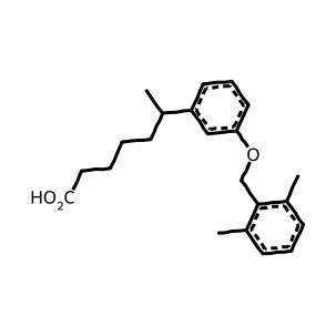 Cc1cccc(C)c1COc1cccc(C(C)CCCCC(=O)O)c1